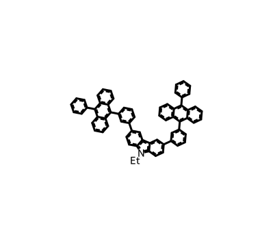 CCn1c2ccc(-c3cccc(-c4c5ccccc5c(-c5ccccc5)c5ccccc45)c3)cc2c2cc(-c3cccc(-c4c5ccccc5c(-c5ccccc5)c5ccccc45)c3)ccc21